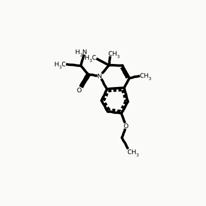 CCOc1ccc2c(c1)C(C)=CC(C)(C)N2C(=O)C(C)N